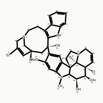 CCC1=C[C@@H]2CN(CCc3c([nH]c4ccccc34)[C@@](C#N)(c3cc4c(cc3OC)N(C)C3[C@H](O)[C@H](OC(C)=O)[C@]5(CC)C=CCN6CC[C@]43[C@@H]65)C2)C1